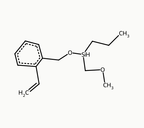 C=Cc1ccccc1CO[SiH](CCC)COC